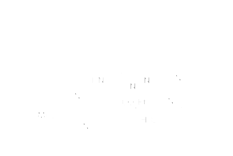 CCOC(=O)c1cnc(SC)nc1Nc1nn(-c2nccn2C)c2ccccc12